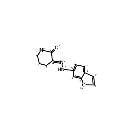 O=C1NCCC/C1=N\Nc1ccc2ccoc2c1